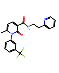 Cc1ccc(C(=O)NCCc2ccccn2)c(=O)n1-c1cccc(C(F)(F)F)c1